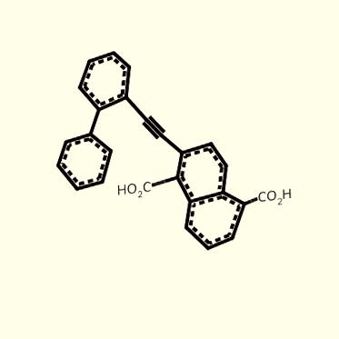 O=C(O)c1cccc2c(C(=O)O)c(C#Cc3ccccc3-c3ccccc3)ccc12